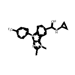 Cc1nc2c(c3cc(C(O)NC4CC4)ccc3n2-c2ccc(C(F)(F)F)cc2)n1C